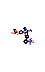 CCCc1c(Cc2ccc(-c3ccccc3-c3noc(=O)[nH]3)cc2)c(=O)n([C@H]2CC[C@H](OC(=O)C(C)(O)C3CC3)CC2)c2ccnn12